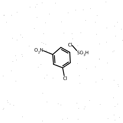 O=S(=O)(O)Cl.O=[N+]([O-])c1cccc(Cl)c1